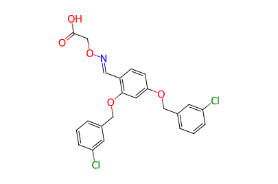 O=C(O)CON=Cc1ccc(OCc2cccc(Cl)c2)cc1OCc1cccc(Cl)c1